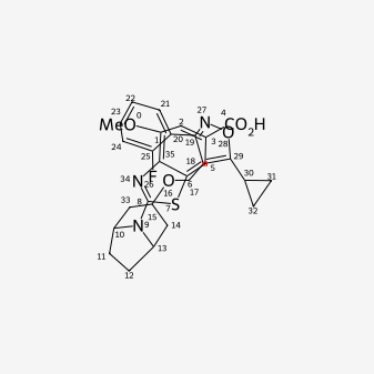 COc1cc(C(=O)O)cc2sc(N3C4CCC3CC(OCc3c(-c5ccccc5F)noc3C3CC3)C4)nc12